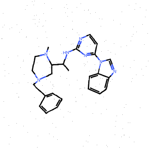 CC(Nc1nccc(-n2cnc3ccccc32)n1)C1CN(Cc2ccccc2)CCN1C